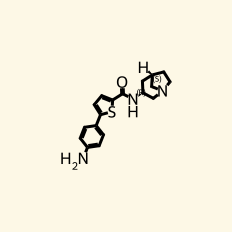 Nc1ccc(-c2ccc(C(=O)N[C@@H]3C[C@@H]4CCN(C4)C3)s2)cc1